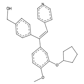 COc1ccc(C(=Cc2ccncc2)c2ccc(CO)cc2)cc1OC1CCCC1